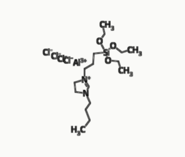 CCCCN1C=[N+](CCC[Si](OCC)(OCC)OCC)CC1.[Al+3].[Cl-].[Cl-].[Cl-].[Cl-]